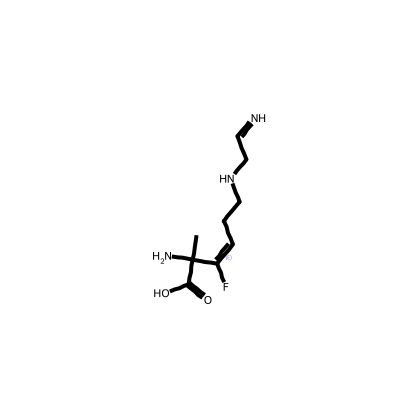 CC(N)(C(=O)O)/C(F)=C\CCNCC=N